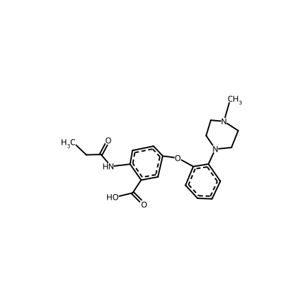 CCC(=O)Nc1ccc(Oc2ccccc2N2CCN(C)CC2)cc1C(=O)O